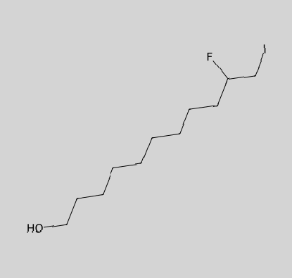 OCCCCCCCCCC(F)CI